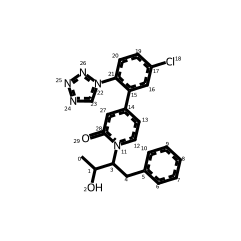 CC(O)C(Cc1ccccc1)n1ccc(-c2cc(Cl)ccc2-n2cnnn2)cc1=O